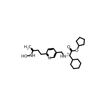 C=C(CCc1ccc(CN[C@H](C(=O)OC2CCCC2)C2CCCCC2)cn1)NO